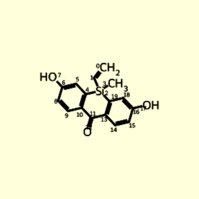 C=C[Si]1(C)c2cc(O)ccc2C(=O)c2ccc(O)cc21